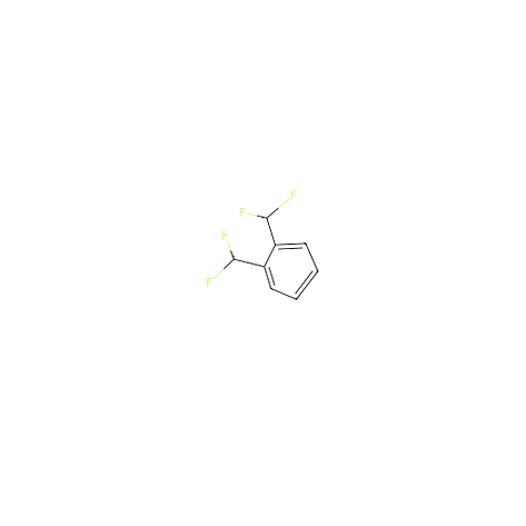 F[C](F)c1ccccc1[C](F)F